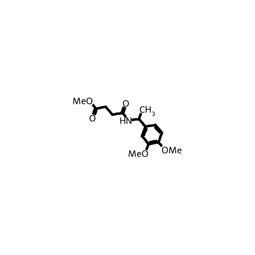 COC(=O)CCC(=O)NC(C)c1ccc(OC)c(OC)c1